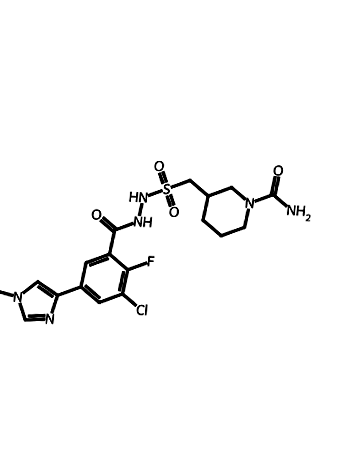 Cn1cnc(-c2cc(Cl)c(F)c(C(=O)NNS(=O)(=O)CC3CCCN(C(N)=O)C3)c2)c1